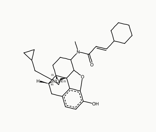 CN(C(=O)C=CC1CCCCC1)C1CC[C@@]2(O)[C@H]3Cc4ccc(O)c5c4[C@@]2(CCN3CC2CC2)C1O5